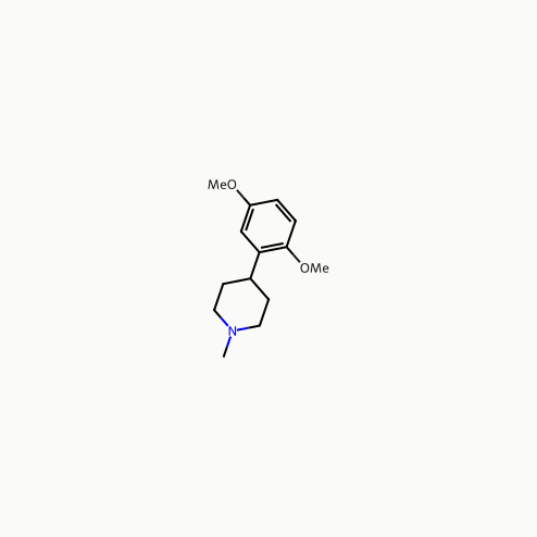 COc1ccc(OC)c(C2CCN(C)CC2)c1